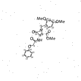 COC(=O)[C@@H]1[C@H](NC(=O)COc2ccccc2)C(=O)N1Cc1ccc(OC)cc1OC